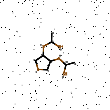 CC(S)SC1CSCC1SC(C)S